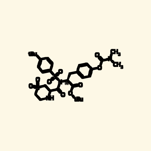 CN(C)C(=O)Oc1ccc(C[C@@H](C(=O)OC(C)(C)C)N(C(=O)C2CS(=O)(=O)CCN2)S(=O)(=O)c2ccc(C(C)(C)C)cc2)cc1